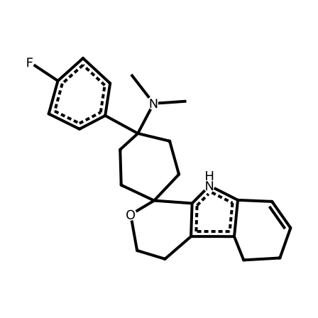 CN(C)C1(c2ccc(F)cc2)CCC2(CC1)OCCc1c2[nH]c2c1CCC=C2